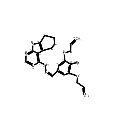 C=CCOc1cc(/C=N\Nc2ncnc3sc4c(c23)CCCC4)cc(OCC=C)c1Br